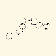 CC(C)(O)CC1CCN(C(=O)c2cc3cc(-c4ccccc4)ccc3[nH]2)CC1